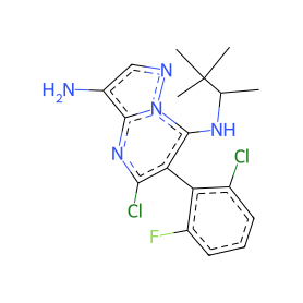 CC(Nc1c(-c2c(F)cccc2Cl)c(Cl)nc2c(N)cnn12)C(C)(C)C